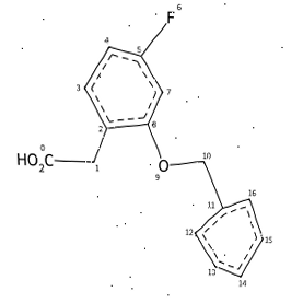 O=C(O)Cc1ccc(F)cc1OCc1ccccc1